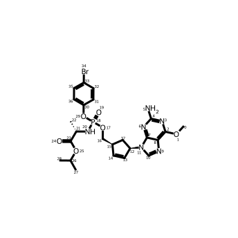 COc1nc(N)nc2c1ncn2[C@H]1C=C[C@@H](COP(=O)(N[C@@H](C)C(=O)OC(C)C)Oc2ccc(Br)cc2)C1